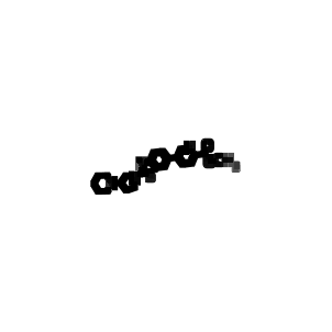 COC(=O)c1ccc(-c2ccc3nc(N4CCC(N5CCCCC5)C4)sc3c2)cn1